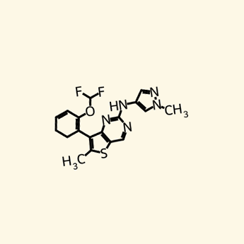 Cc1sc2cnc(Nc3cnn(C)c3)nc2c1C1=C(OC(F)F)C=CCC1